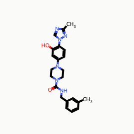 Cc1cccc(CNC(=O)N2CCN(c3ccc(-n4cnc(C)n4)c(O)c3)CC2)c1